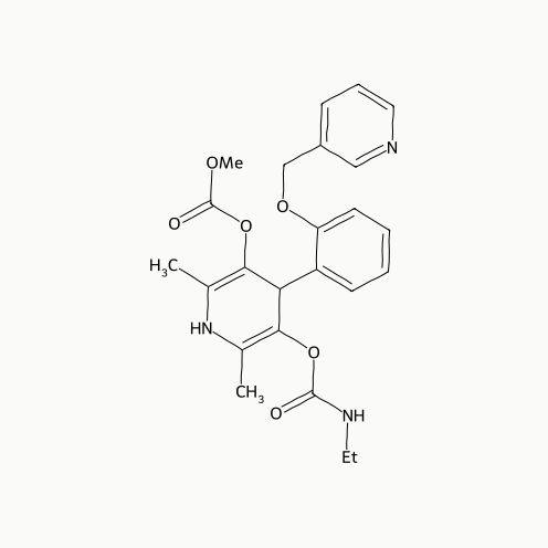 CCNC(=O)OC1=C(C)NC(C)=C(OC(=O)OC)C1c1ccccc1OCc1cccnc1